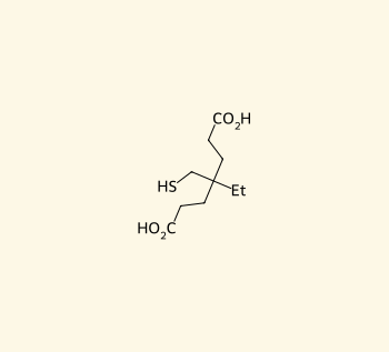 CCC(CS)(CCC(=O)O)CCC(=O)O